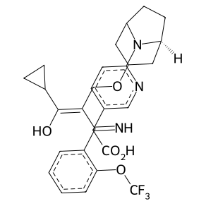 N=C(/C(COC1CC2CC[C@@H](C1)N2c1ccc(CC(=O)O)cn1)=C(\O)C1CC1)c1ccccc1OC(F)(F)F